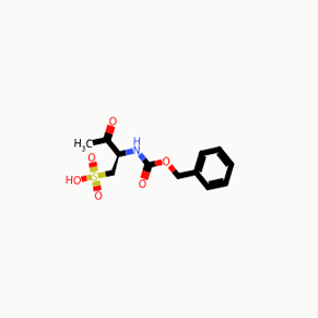 CC(=O)[C@H](CS(=O)(=O)O)NC(=O)OCc1ccccc1